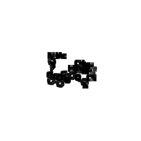 CC(=O)NC1CCN(CCCOc2cccc(-c3cccc(COc4cc(OCc5cncc(C#N)c5)c(CNC(C)/C(=N/N)NN)cc4Cl)c3C)c2C)CC1